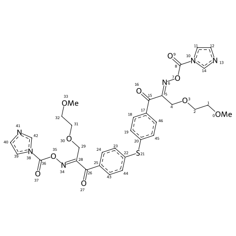 COCCOC/C(=N\OC(=O)n1ccnc1)C(=O)c1ccc(Sc2ccc(C(=O)/C(COCCOC)=N/OC(=O)n3ccnc3)cc2)cc1